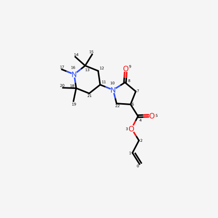 C=CCOC(=O)C1CC(=O)N(C2CC(C)(C)N(C)C(C)(C)C2)C1